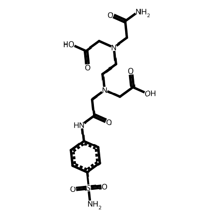 NC(=O)CN(CCN(CC(=O)O)CC(=O)Nc1ccc(S(N)(=O)=O)cc1)CC(=O)O